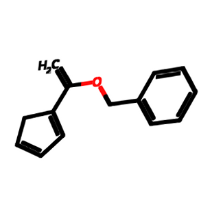 C=C(OCc1ccccc1)C1=CC=CC1